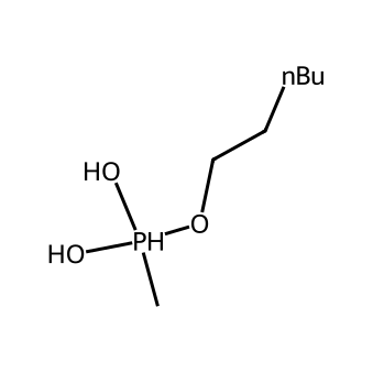 CCCCCCO[PH](C)(O)O